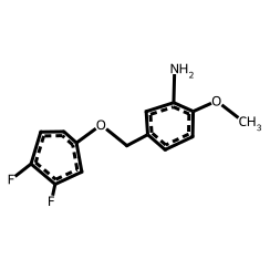 COc1ccc(COc2ccc(F)c(F)c2)cc1N